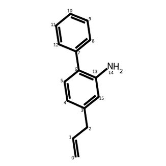 C=CCc1ccc(-c2ccccc2)c(N)c1